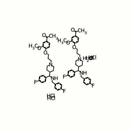 COc1cc(C(C)=O)ccc1OCCCN1CCC(C(NCc2ccc(F)cc2)c2ccc(F)cc2)CC1.COc1cc(C(C)=O)ccc1OCCCN1CCC(C(NCc2ccc(F)cc2)c2ccc(F)cc2)CC1.Cl.Cl.Cl.Cl.O